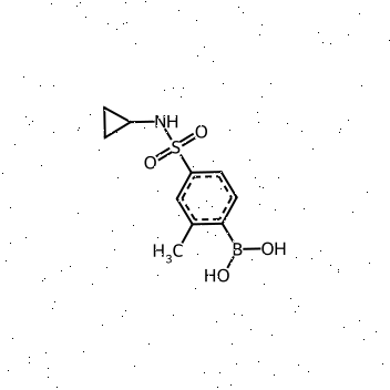 Cc1cc(S(=O)(=O)NC2CC2)ccc1B(O)O